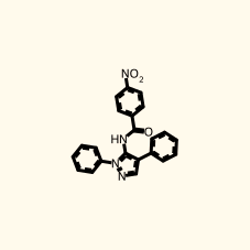 O=C(Nc1c(-c2ccccc2)cnn1-c1ccccc1)c1ccc([N+](=O)[O-])cc1